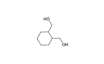 OC[C]1CCCCC1CO